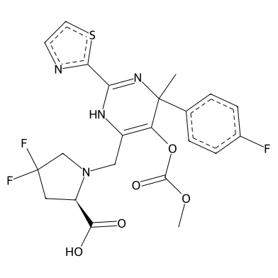 COC(=O)OC1=C(CN2CC(F)(F)C[C@@H]2C(=O)O)NC(c2nccs2)=NC1(C)c1ccc(F)cc1